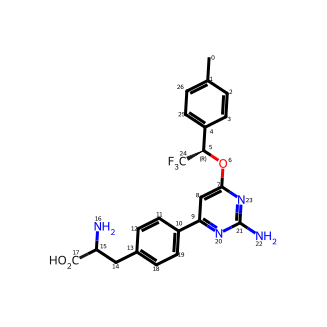 Cc1ccc([C@@H](Oc2cc(-c3ccc(CC(N)C(=O)O)cc3)nc(N)n2)C(F)(F)F)cc1